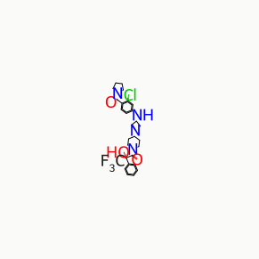 O=C(c1ccc(NC2CN(C3CCN(C(=O)C(O)(c4ccccc4)C(F)(F)F)CC3)C2)cc1Cl)N1CCCC1